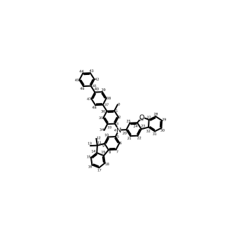 Cc1cc(N(c2ccc3c(c2)C(C)(C)c2ccccc2-3)c2ccc3c(c2)oc2ccccc23)c(C)cc1-c1ccc(-c2ccccc2)cc1